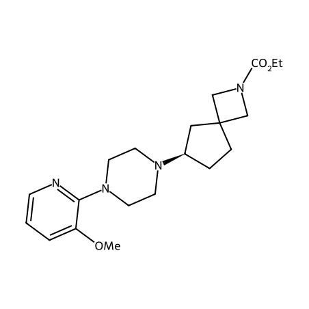 CCOC(=O)N1CC2(CC[C@@H](N3CCN(c4ncccc4OC)CC3)C2)C1